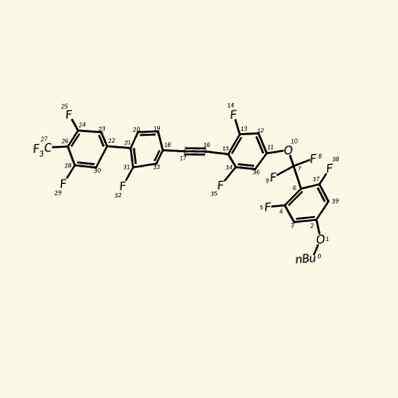 CCCCOc1cc(F)c(C(F)(F)Oc2cc(F)c(C#Cc3ccc(-c4cc(F)c(C(F)(F)F)c(F)c4)c(F)c3)c(F)c2)c(F)c1